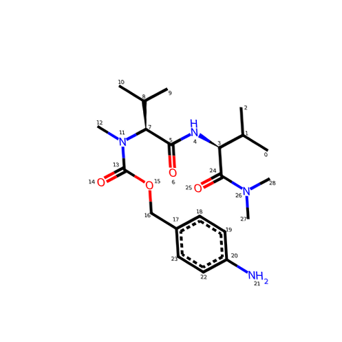 CC(C)[C@H](NC(=O)[C@H](C(C)C)N(C)C(=O)OCc1ccc(N)cc1)C(=O)N(C)C